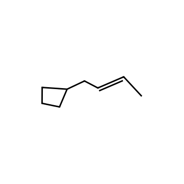 CC=CCC1CCC1